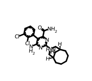 NC(=O)c1nc(N2C[C@H]3CCCCC[C@@H](C2)[C@H]3N)nc(N)c1-c1cccc(Cl)c1Cl